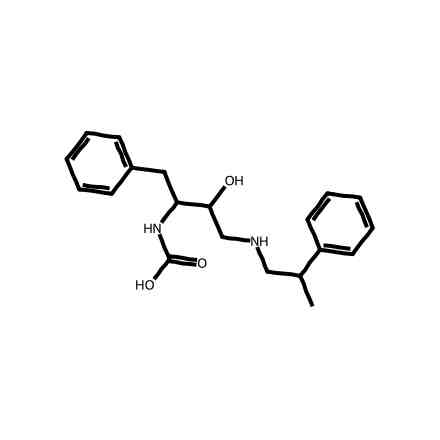 CC(CNCC(O)C(Cc1ccccc1)NC(=O)O)c1ccccc1